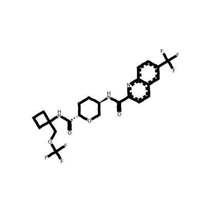 O=C(N[C@@H]1CC[C@@H](C(=O)NC2(COC(F)(F)F)CCC2)OC1)c1ccc2cc(C(F)(F)F)ccc2n1